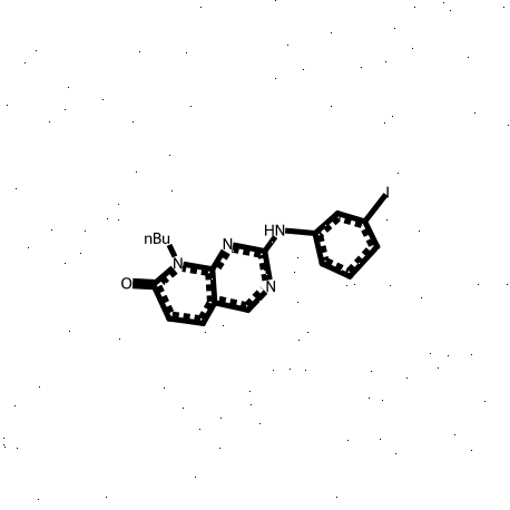 CCCCn1c(=O)ccc2cnc(Nc3cccc(I)c3)nc21